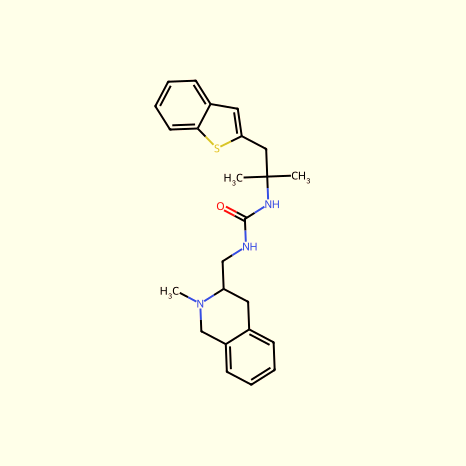 CN1Cc2ccccc2CC1CNC(=O)NC(C)(C)Cc1cc2ccccc2s1